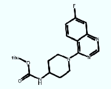 CC(C)(C)OC(=O)NC1CCN(c2ncnc3cc(F)ccc23)CC1